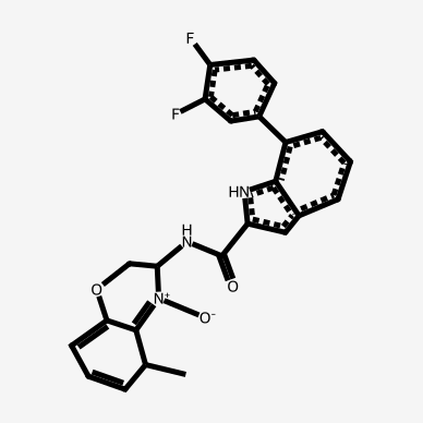 CC1C=CC=C2OCC(NC(=O)c3cc4cccc(-c5ccc(F)c(F)c5)c4[nH]3)[N+]([O-])=C21